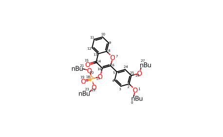 CCCCOc1ccc(-c2oc3ccccc3c(=O)c2OP(=O)(OCCCC)OCCCC)cc1OCCCC